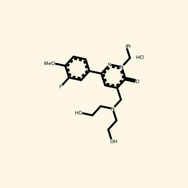 COc1ccc(-c2cc(CN(CCO)CCO)c(=O)n(CC(C)C)n2)cc1F.Cl